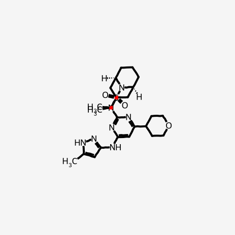 CCS(=O)(=O)N1[C@@H]2CCC[C@H]1CC(N(C)c1nc(Nc3cc(C)[nH]n3)cc(C3CCOCC3)n1)C2